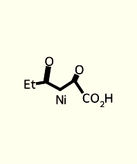 CCC(=O)CC(=O)C(=O)O.[Ni]